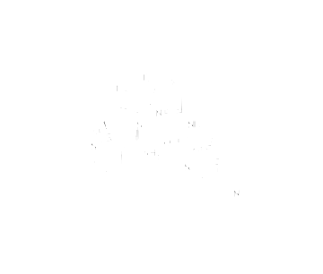 Cc1cc(C#N)cnc1C(=O)Nc1ccc(F)c([C@]2(CF)CC[S@]3(=O)=NCCC[C@]3(C)C(N)=N2)n1